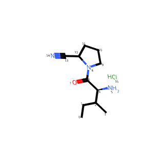 CCC(C)[C@H](N)C(=O)N1CCCC1C#N.Cl